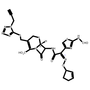 C#CCn1nnnc1SCC1=C(C(=O)O)N2C(=O)C(NC(=O)/C(=N\OC3C=CCC3)c3csc(NC=O)n3)[C@H]2SC1